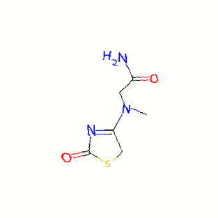 CN(CC(N)=O)C1=NC(=O)SC1